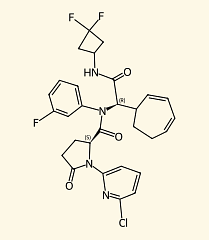 O=C(NC1CC(F)(F)C1)[C@@H](C1C=CC=CCC1)N(C(=O)[C@@H]1CCC(=O)N1c1cccc(Cl)n1)c1cccc(F)c1